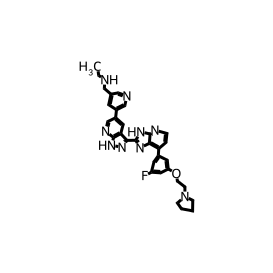 CCNCc1cncc(-c2cnc3[nH]nc(-c4nc5c(-c6cc(F)cc(OCCN7CCCC7)c6)ccnc5[nH]4)c3c2)c1